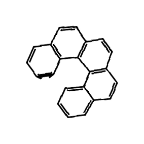 c1ccc2c(c1)ccc1ccc3ccc4ccc5ccccc5c4c3c12